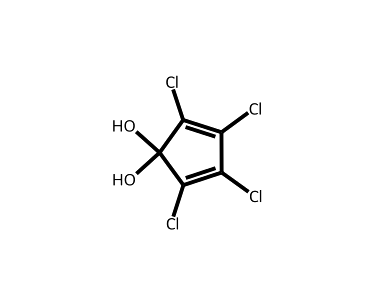 OC1(O)C(Cl)=C(Cl)C(Cl)=C1Cl